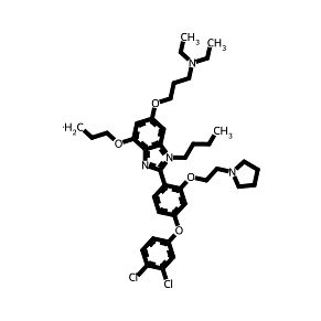 [CH2]CCOc1cc(OCCCN(CC)CC)cc2c1nc(-c1ccc(Oc3ccc(Cl)c(Cl)c3)cc1OCCN1CCCC1)n2CCCC